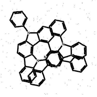 c1ccc(-c2cc(-c3cccc4c3c3c(ccc5c6ccccc6n(-c6ccc7c8ccccc8n(-c8ccccc8)c7c6)c53)n4-c3ccccc3)nc(-c3ccccc3)n2)cc1